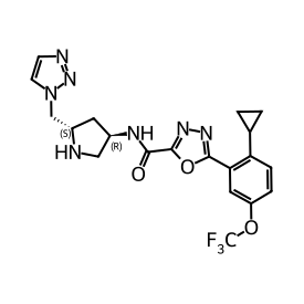 O=C(N[C@H]1CN[C@H](Cn2ccnn2)C1)c1nnc(-c2cc(OC(F)(F)F)ccc2C2CC2)o1